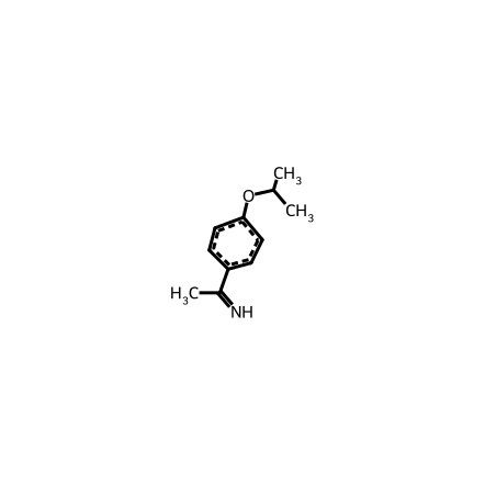 CC(=N)c1ccc(OC(C)C)cc1